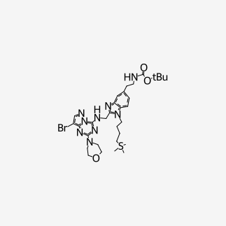 CC(C)(C)OC(=O)NCCc1ccc2c(c1)nc(CNc1nc(N3CCOCC3)nc3c(Br)cnn13)n2CCCCS(C)(C)C